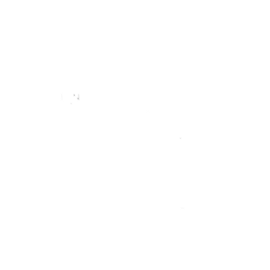 CCC1(Cc2ccc(N)cc2)CCCCC1c1ccccc1F